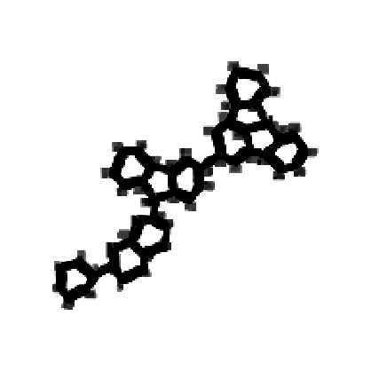 c1ccc(-c2ccc3ccc(-n4c5ccccc5c5cc(-c6cc7c8ccccc8n8c9ccccc9c(c6)c78)ccc54)nc3n2)cc1